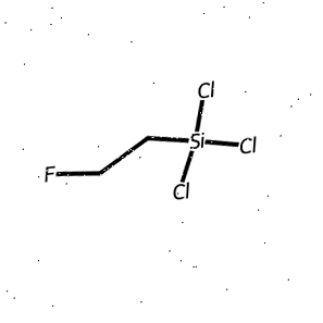 FCC[Si](Cl)(Cl)Cl